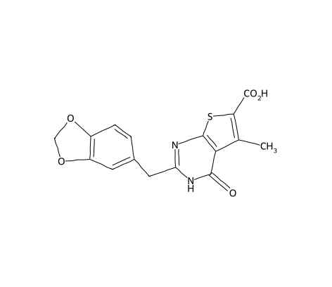 Cc1c(C(=O)O)sc2nc(Cc3ccc4c(c3)OCO4)[nH]c(=O)c12